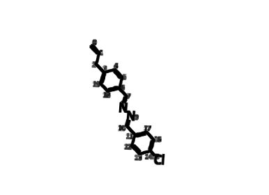 C=CCc1ccc(/C=N/N=C/c2ccc(Cl)cc2)cc1